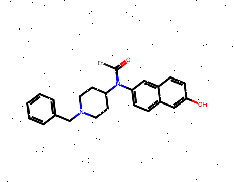 CCC(=O)N(c1ccc2cc(O)ccc2c1)C1CCN(Cc2ccccc2)CC1